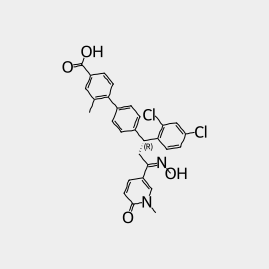 Cc1cc(C(=O)O)ccc1-c1ccc([C@@H](CC(=NO)c2ccc(=O)n(C)c2)c2ccc(Cl)cc2Cl)cc1